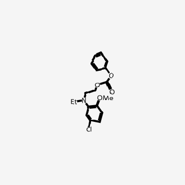 CCN(CCOC(=O)Oc1ccccc1)c1cc(Cl)ccc1OC